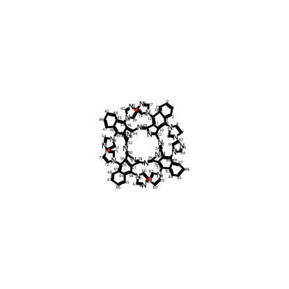 c1ccc2c(-n3ccnc3)c3c(c(-n4ccnc4)c2c1)-c1nc-3nc2[nH]c(nc3nc(nc4[nH]c(n1)c1c(-n5ccnc5)c5ccccc5c(-n5ccnc5)c41)-c1c-3c(-n3ccnc3)c3ccccc3c1-n1ccnc1)c1c(-n3ccnc3)c3ccccc3c(-n3ccnc3)c21